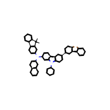 CC1(C)c2ccccc2-c2ccc(N(c3ccc4ccccc4c3)c3ccc4c5cc(-c6ccc7sc8ccccc8c7c6)ccc5n(-c5ccccc5)c4c3)cc21